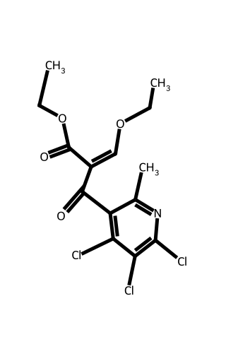 CCOC=C(C(=O)OCC)C(=O)c1c(C)nc(Cl)c(Cl)c1Cl